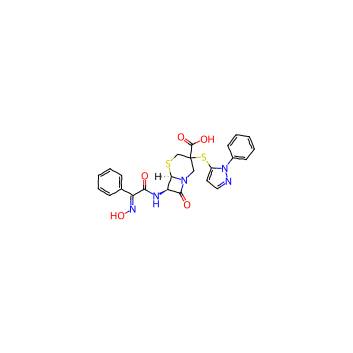 O=C(N[C@@H]1C(=O)N2CC(Sc3ccnn3-c3ccccc3)(C(=O)O)CS[C@H]12)C(=NO)c1ccccc1